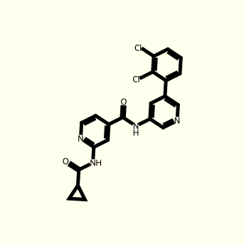 O=C(Nc1cncc(-c2cccc(Cl)c2Cl)c1)c1ccnc(NC(=O)C2CC2)c1